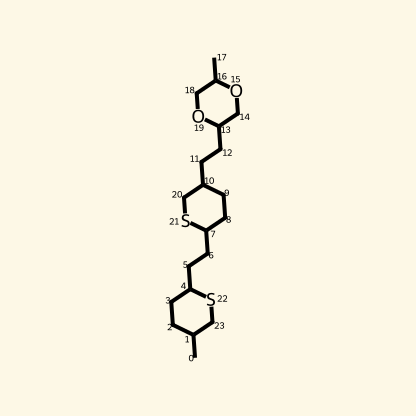 CC1CCC(CCC2CCC(CCC3COC(C)CO3)CS2)SC1